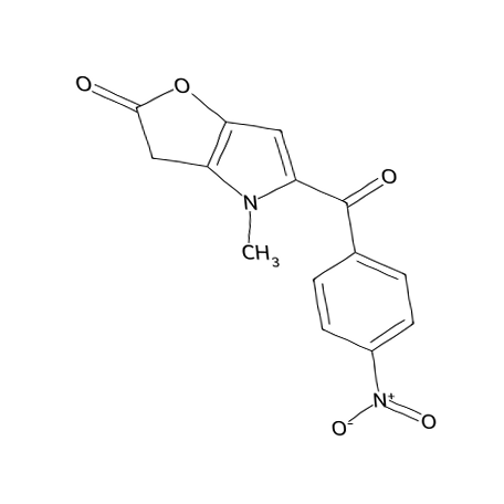 Cn1c(C(=O)c2ccc([N+](=O)[O-])cc2)cc2c1CC(=O)O2